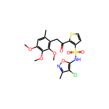 COc1cc(C)c(CC(=O)c2sccc2S(=O)(=O)Nc2onc(C)c2Cl)c(OC)c1OC